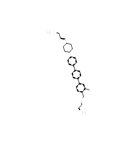 C=CCOCc1ccc(-c2ccc(-c3ccc([C@H]4CC[C@H](/C=C/CC)CC4)cc3)cc2)cc1F